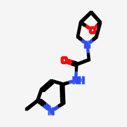 Cc1ccc(NC(=O)CN2CC3CC(C2)O3)cn1